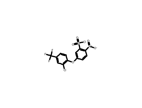 O=[N+]([O-])c1ccc(Oc2ccc(C(F)(F)F)cc2Cl)cc1S(=O)(=O)Cl